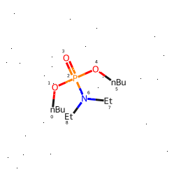 CCCCOP(=O)(OCCCC)N(CC)CC